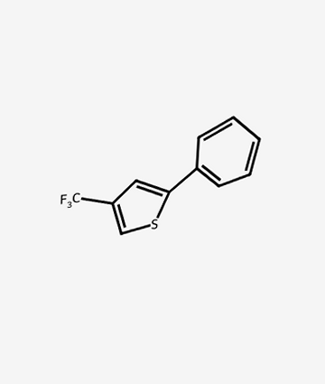 FC(F)(F)c1csc(-c2ccccc2)c1